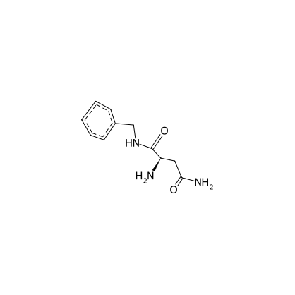 NC(=O)C[C@@H](N)C(=O)NCc1ccccc1